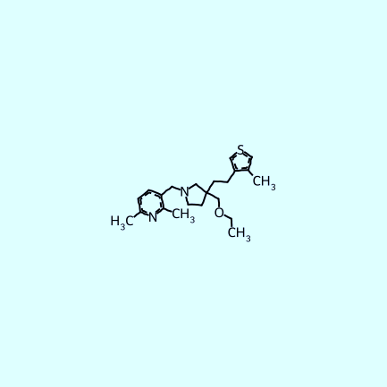 CCOCC1(CCc2cscc2C)CCN(Cc2ccc(C)nc2C)C1